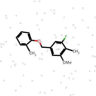 COc1cc(COc2ccccc2C)cc(F)c1C